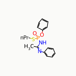 CCCSP(=O)(NC(C)=Nc1ccccc1)Oc1ccccc1